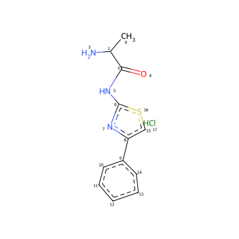 CC(N)C(=O)Nc1nc(-c2ccccc2)cs1.Cl